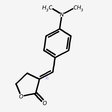 CN(C)c1ccc(/C=C2\CCOC2=O)cc1